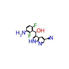 N#Cc1cnc2[nH]cc(C(O)c3c(F)ccc(N)c3F)c2c1